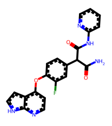 NC(=O)C(C(=O)Nc1ccccn1)c1ccc(Oc2ccnc3[nH]ccc23)c(F)c1